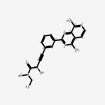 CCCN(CC(F)(F)F)C(=O)[C@H](O)C#Cc1cccc(-c2nc(C)c3ccnc(N)c3n2)c1